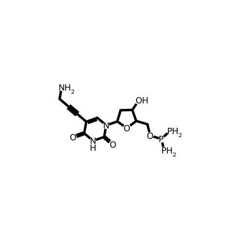 NCC#Cc1cn(C2CC(O)C(COP(P)P)O2)c(=O)[nH]c1=O